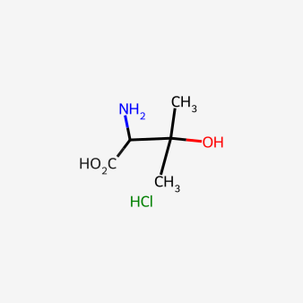 CC(C)(O)C(N)C(=O)O.Cl